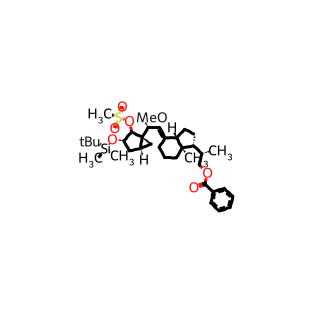 CO[C@H](/C=C1\CCC[C@]2(C)[C@@H]([C@H](C)COC(=O)c3ccccc3)CC[C@@H]12)[C@]12C[C@H]1C[C@H](O[Si](C)(C)C(C)(C)C)C2OS(C)(=O)=O